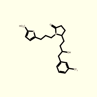 O=C(O)c1ccc(CCCN2C(=O)CCC2CCC(O)Cc2cccc(C(F)(F)F)c2)s1